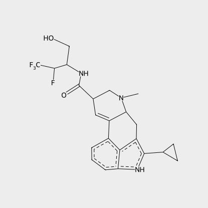 CN1CC(C(=O)NC(CO)C(F)C(F)(F)F)C=C2c3cccc4[nH]c(C5CC5)c(c34)CC21